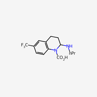 CCCNC1CCc2cc(C(F)(F)F)ccc2N1C(=O)O